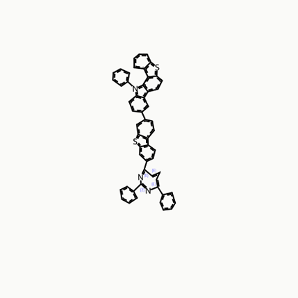 C1=C/C(c2ccc3c(c2)sc2cc(-c4ccc5c(c4)c4ccc6sc7ccccc7c6c4n5-c4ccccc4)ccc23)=N\C(c2ccccc2)=N/C(c2ccccc2)=C/1